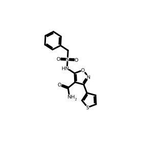 NC(=O)c1c(-c2ccsc2)noc1NS(=O)(=O)Cc1ccccc1